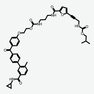 Cc1ccc(C(=O)NC2CC2)cc1-c1ccc(C(=O)c2ccc(OCCOC(=O)NCCCNC(=O)c3ccc(C#CCNC(=O)OCC(C)C)o3)cc2)cc1